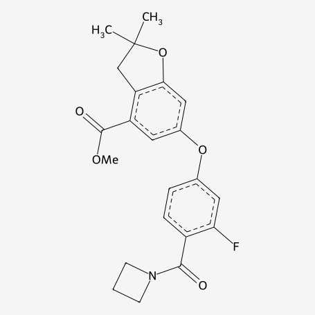 COC(=O)c1cc(Oc2ccc(C(=O)N3CCC3)c(F)c2)cc2c1CC(C)(C)O2